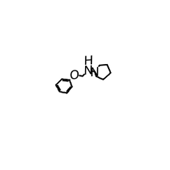 c1ccc(OCNN2CCCCC2)cc1